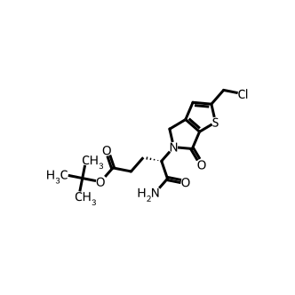 CC(C)(C)OC(=O)CC[C@@H](C(N)=O)N1Cc2cc(CCl)sc2C1=O